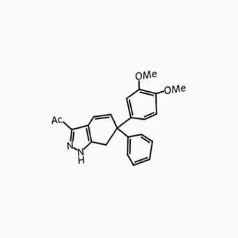 COc1ccc(C2(c3ccccc3)C=Cc3c(C(C)=O)n[nH]c3C2)cc1OC